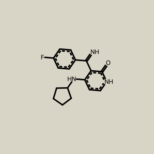 N=C(c1ccc(F)cc1)c1c(NC2CCCC2)cc[nH]c1=O